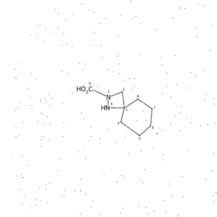 O=C(O)N1CC2(CCCCC2)N1